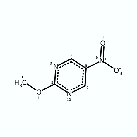 COc1ncc([N+](=O)[O-])cn1